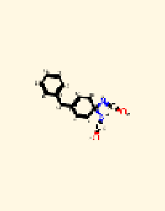 O=C=NC1(N=C=O)C=CC(Cc2ccccc2)=CC1